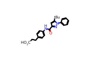 CC(C)(C)c1cc(C(=O)Nc2ccc(CCC(=O)O)cc2)nn1-c1ccccc1